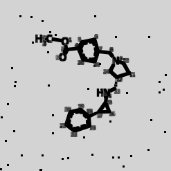 COC(=O)c1ccc(CN2CC[C@H](CNC3C[C@H]3c3ccccc3)C2)cc1